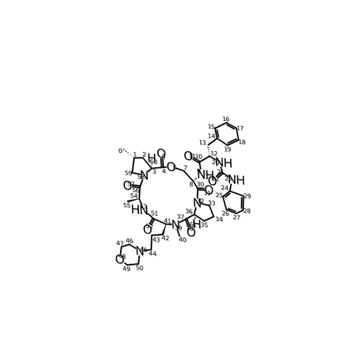 C[C@@H]1C[C@H]2C(=O)OC[C@H](NC(=O)[C@H](Cc3ccccc3)NC(=O)Nc3ccccc3)C(=O)N3CCC[C@H]3C(=O)N(C)[C@@H](CCCN3CCOCC3)C(=O)N[C@@H](C)C(=O)N2C1